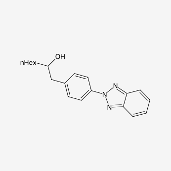 CCCCCCC(O)Cc1ccc(-n2nc3ccccc3n2)cc1